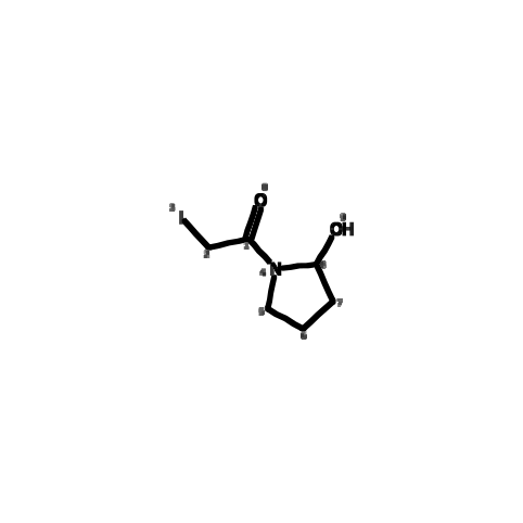 O=C(CI)N1CCCC1O